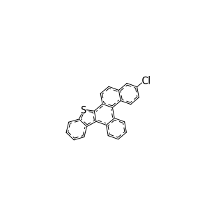 Clc1ccc2c(ccc3c4sc5ccccc5c4c4ccccc4c23)c1